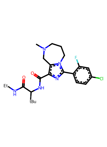 CCNC(=O)C(NC(=O)c1nc(-c2ccc(Cl)cc2F)n2c1CN(C)CCC2)C(C)(C)C